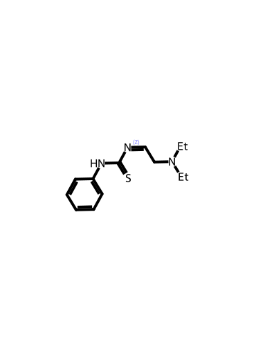 CCN(CC)C/C=N\C(=S)Nc1ccccc1